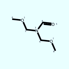 COCN(C=O)COC